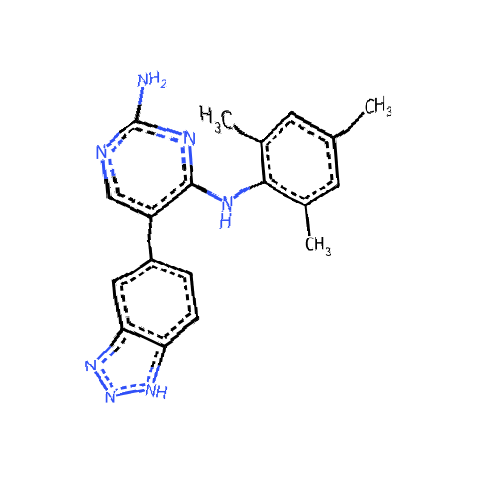 Cc1cc(C)c(Nc2nc(N)ncc2-c2ccc3[nH]nnc3c2)c(C)c1